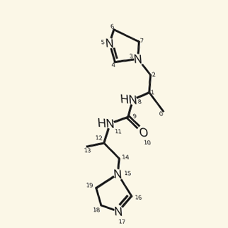 CC(CN1C=NCC1)NC(=O)NC(C)CN1C=NCC1